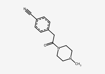 CN1CCN(C(=O)Cc2ccc(C#N)cc2)CC1